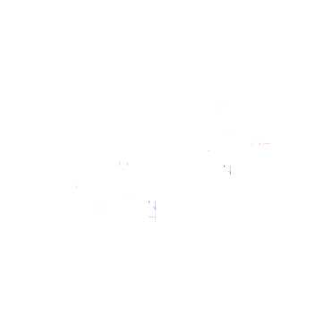 CN1CCC(NC(=O)OC(C)(C)C)CC1(C)C(=O)O